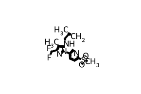 C=C(C)CNc1c(C)c(C(F)F)nn1-c1ccc(S(C)(=O)=O)nc1